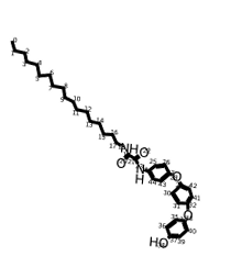 CCCCCCCCCCCCCCCCCCNC(=O)C(=O)Nc1ccc(Oc2ccc(Oc3ccc(O)cc3)cc2)cc1